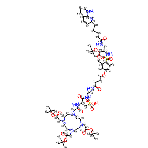 Cc1cc(OCCCC(=O)NCCNC(=O)C(CS(=O)(=O)O)NC(=O)CN2CCN(CC(=O)OC(C)(C)C)CCN(CC(=O)OC(C)(C)C)CCN(CC(=O)OC(C)(C)C)CC2)cc(C)c1S(=O)(=O)NC(CNC(=O)CCCCc1ccc2c(n1)NCCC2)C(=O)OC(C)(C)C